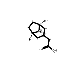 O=C(O)CC1C[C@H]2CC[C@@H](C1)N2P